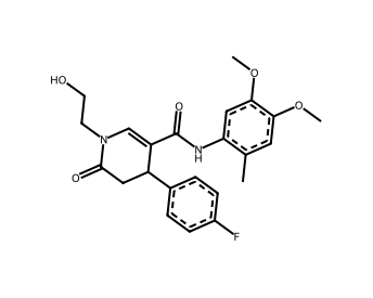 COc1cc(C)c(NC(=O)C2=CN(CCO)C(=O)CC2c2ccc(F)cc2)cc1OC